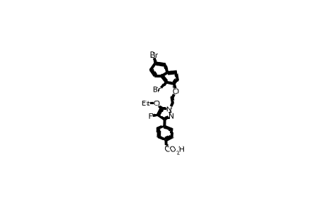 CCOc1c(F)c(-c2ccc(C(=O)O)cc2)nn1CCOc1ccc2cc(Br)ccc2c1Br